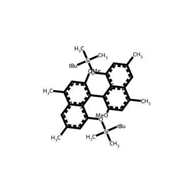 COc1cc(C)c2cc(C)cc(O[Si](C)(C)C(C)(C)C)c2c1-c1c(OC)cc(C)c2cc(C)cc(O[Si](C)(C)C(C)(C)C)c12